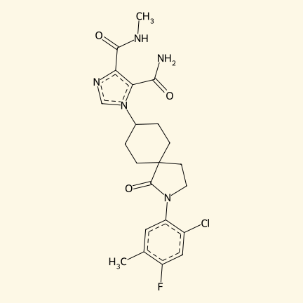 CNC(=O)c1ncn(C2CCC3(CC2)CCN(c2cc(C)c(F)cc2Cl)C3=O)c1C(N)=O